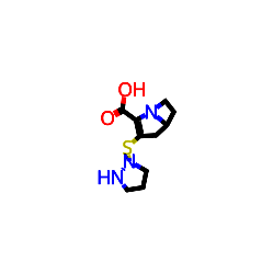 O=C(O)C1=C(SN2CCCN2)CC2CCN12